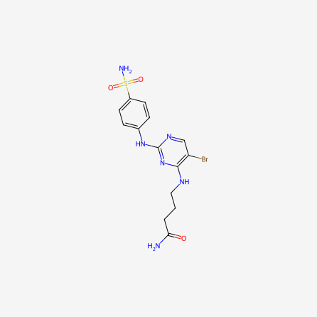 NC(=O)CCCNc1nc(Nc2ccc(S(N)(=O)=O)cc2)ncc1Br